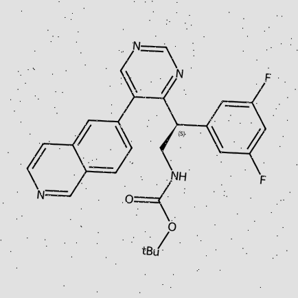 CC(C)(C)OC(=O)NC[C@H](c1cc(F)cc(F)c1)c1ncncc1-c1ccc2cnccc2c1